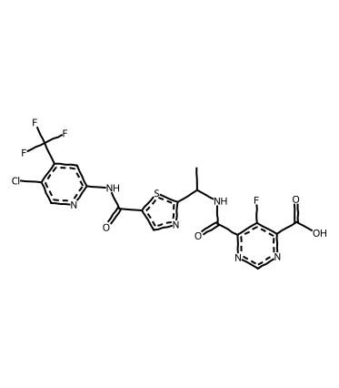 CC(NC(=O)c1ncnc(C(=O)O)c1F)c1ncc(C(=O)Nc2cc(C(F)(F)F)c(Cl)cn2)s1